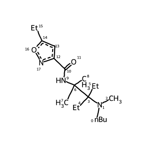 CCCCN(C)C(CC)(CC)C(C)(C)NC(=O)c1cc(CC)on1